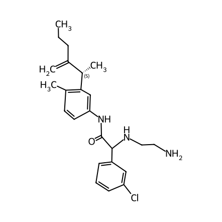 C=C(CCC)[C@H](C)c1cc(NC(=O)C(NCCN)c2cccc(Cl)c2)ccc1C